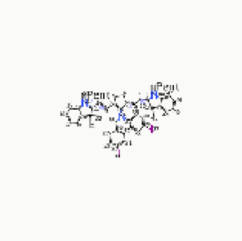 CCCCCN1/C(=C/C=C2\CCC(/C=C/C3=[N+](CCCCC)c4ccccc4C3(C)C)=C2N(Cc2ccc(I)cc2)c2ccc(I)cc2)C(C)(C)c2ccccc21